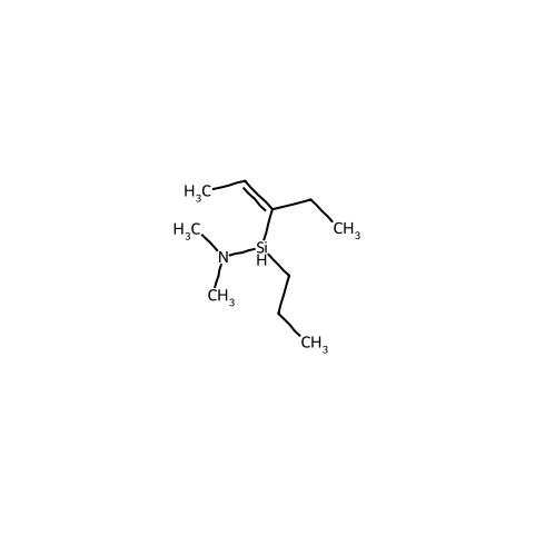 CC=C(CC)[SiH](CCC)N(C)C